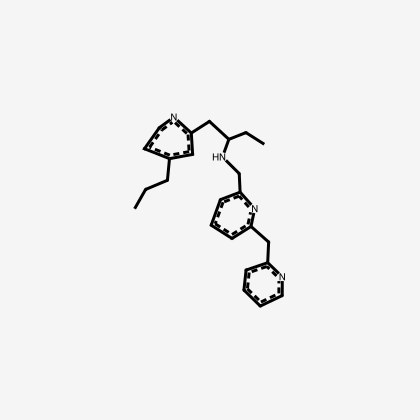 CCCc1ccnc(CC(CC)NCc2cccc(Cc3ccccn3)n2)c1